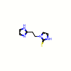 S=c1[nH]ccn1CCc1ncc[nH]1